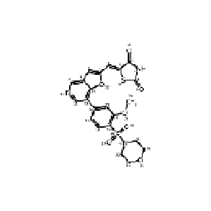 O=C1NC(=O)C(=Cc2cc3cncc(-c4ccc(S(=O)(=O)N5CCOCC5)c(OC(F)(F)F)c4)c3o2)S1